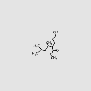 COC(=O)C(CCCO)C(C)CC(C)C